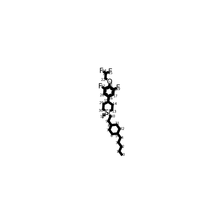 CCCCCC1CCC(CC[Si]2(F)CCC(c3cc(F)c(OCC(F)F)c(F)c3)CC2)CC1